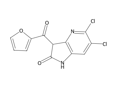 O=C1Nc2cc(Cl)c(Cl)nc2C1C(=O)c1ccco1